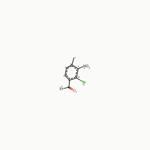 CCC(=O)c1ccc(C)c([N+](=O)[O-])c1Br